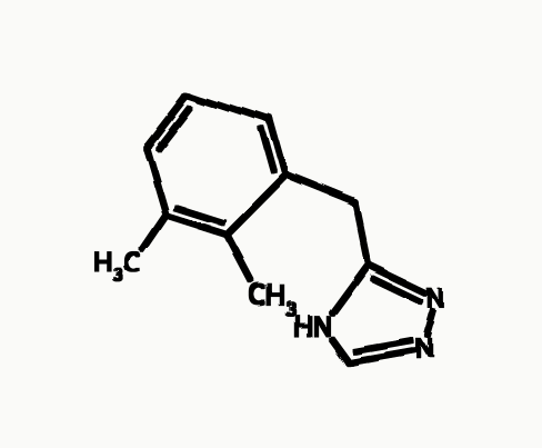 Cc1cccc(Cc2nnc[nH]2)c1C